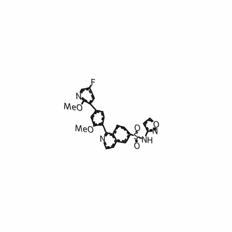 COc1cc(-c2cc(F)cnc2OC)ccc1-c1nccc2cc(S(=O)(=O)Nc3ccon3)ccc12